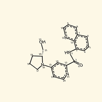 O=C(Nc1cccc2cccnc12)c1cc(N2CCC[C@@H]2CO)ccn1